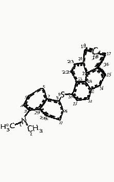 CN(C)c1cccc2c(Sc3ccc4ccc5cccc6ccc3c4c56)cccc12